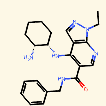 CCn1ncc2c(N[C@H]3CCCC[C@H]3N)c(C(=O)NCc3ccccc3)cnc21